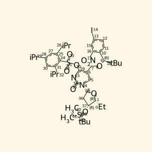 CC[C@H]1O[C@@H](n2cc(CO[C@@H](c3ccc(I)cc3[N+](=O)[O-])C(C)(C)C)c(OS(=O)(=O)c3c(C(C)C)cc(C(C)C)cc3C(C)C)nc2=O)C[C@H]1O[Si](C)(C)C(C)(C)C